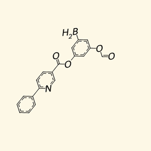 Bc1cc(OC=O)cc(OC(=O)c2ccc(-c3ccccc3)nc2)c1